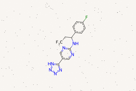 Fc1ccc(C(CC(F)(F)F)Nc2ncc(-c3nnn[nH]3)cn2)cc1